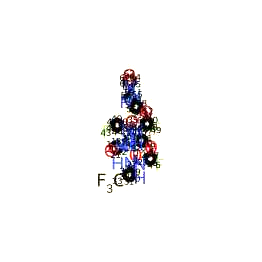 O=C(Nc1cc(F)cc(Oc2ccc3ncc(N4CCOCC4)nc3c2)c1)Nc1cccc(C(F)(F)F)c1.O=C(Nc1cccc(F)c1)Nc1cc(F)cc(Oc2ccc3ncc(N4CCOCC4)nc3c2)c1